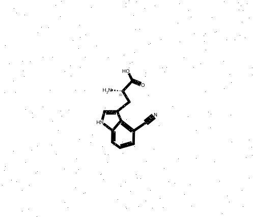 N#Cc1cccc2[nH]cc(C[C@H](N)C(=O)O)c12